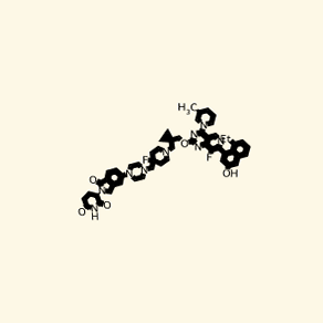 CCc1cccc2cc(O)cc(-c3ncc4c(N5CCC[C@H](C)C5)nc(OCC5(CN6CCC(F)(CN7CCN(c8ccc9c(c8)CN([C@H]8CCC(=O)NC8=O)C9=O)CC7)CC6)CC5)nc4c3F)c12